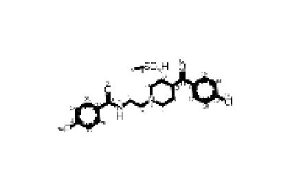 CS(=O)(=O)O.O=C(NCCN1CCC(C(=O)c2ccc(Cl)cc2)CC1)c1ccc(F)cc1